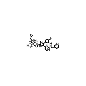 CC1(C(=O)NCC2CC2)COC(c2nc(-c3ccc(F)cc3)c(-c3ccnc(NCc4cccnc4)n3)[nH]2)OC1